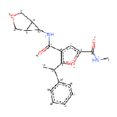 CNC(=O)c1cc(C(=O)NC2C3COCC32)c(C(C)c2ccccc2)o1